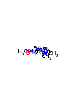 CNC(=O)OCCOc1cc2c(cc1F)c(=O)c(CN(Cc1ccnc(C)c1)[C@H]1CCCN(c3ccc(C)nc3)C1)cn2C1CC1